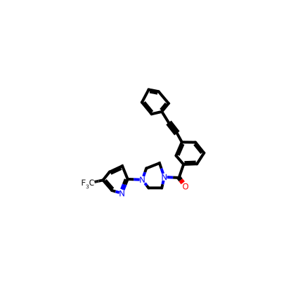 O=C(c1cccc(C#Cc2ccccc2)c1)N1CCN(c2ccc(C(F)(F)F)cn2)CC1